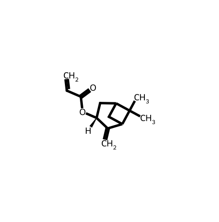 C=CC(=O)O[C@@H]1CC2CC(C1=C)C2(C)C